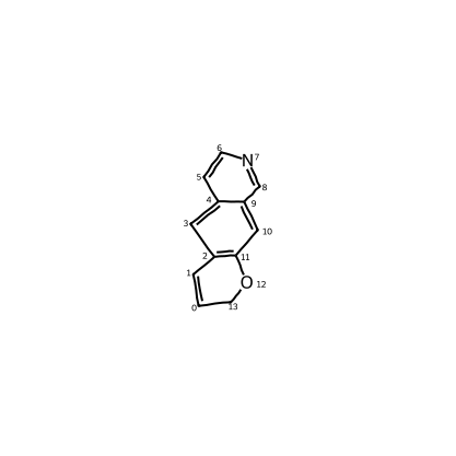 C1=Cc2cc3ccncc3cc2OC1